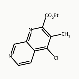 CCOC(=O)c1nc2cnccc2c(Cl)c1C